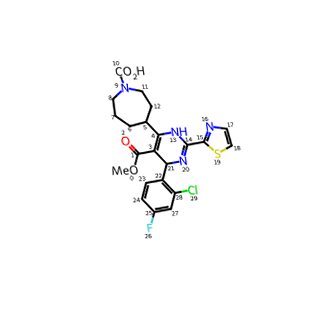 COC(=O)C1=C(C2CCCN(C(=O)O)CC2)NC(c2nccs2)=NC1c1ccc(F)cc1Cl